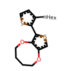 CCCCCCc1ccsc1-c1scc2c1OCCCCO2